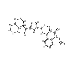 CCC(C(=O)N1CCC(c2nc(C(=O)N3CCCC4CCCCC43)cs2)CC1)c1ccccc1